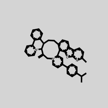 C=C1C[n+]2ccc(-c3ccc(C(C)C)cc3)cc2-c2c(ccc3c2oc2nc(C)ccc23)CCC2c3ccccc3-c3cccc[n+]3C12